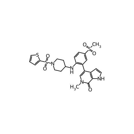 Cn1cc(-c2cc(S(C)(=O)=O)ccc2NC2CCN(S(=O)(=O)c3cccs3)CC2)c2cc[nH]c2c1=O